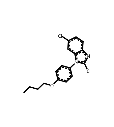 CCCCOc1ccc(-n2c(Cl)nc3ccc(Cl)cc32)cc1